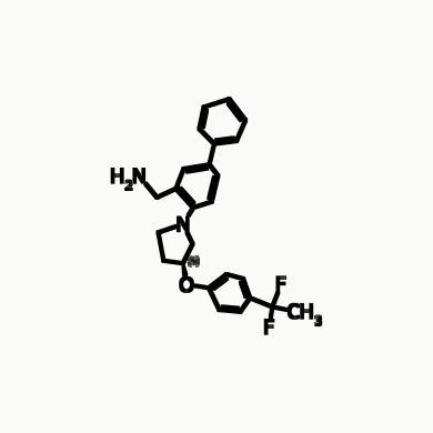 CC(F)(F)c1ccc(O[C@H]2CCN(c3ccc(-c4ccccc4)cc3CN)C2)cc1